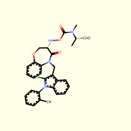 C[C@@H](C=O)N(C)C(=O)ON[C@H]1COc2ccccc2N(Cc2c(Cl)n(-c3ccccc3C#N)c3ccccc23)C1=O